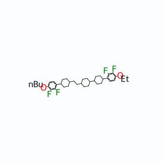 CCCCOc1ccc(C2CCC(CCC3CCC(C4CCC(c5ccc(OCC)c(F)c5F)CC4)CC3)CC2)c(F)c1F